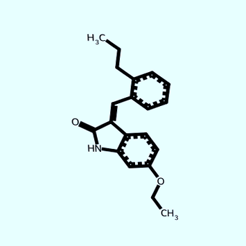 CCCc1ccccc1/C=C1/C(=O)Nc2cc(OCC)ccc21